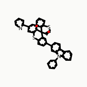 c1ccc(-n2c3ccccc3c3ccc(-c4ccc5c(c4)C4(c6ccccc6Sc6ccccc64)c4ccc(-c6ccccn6)cc4S5)cc32)cc1